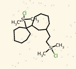 C[Si](C)(Cl)CCC1CCCCC(C2([Si](C)(C)Cl)CCCCCC2)C1